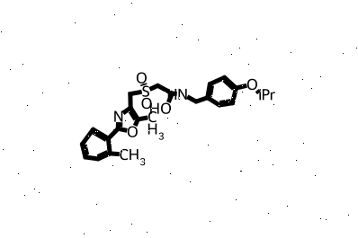 Cc1ccccc1-c1nc(CS(=O)(=O)CC(O)NCc2ccc(OC(C)C)cc2)c(C)o1